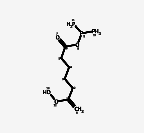 C=C(CCCCC(=O)OP(P)P)OO